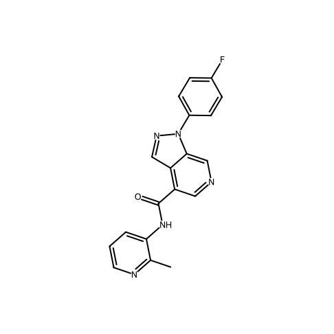 Cc1ncccc1NC(=O)c1cncc2c1cnn2-c1ccc(F)cc1